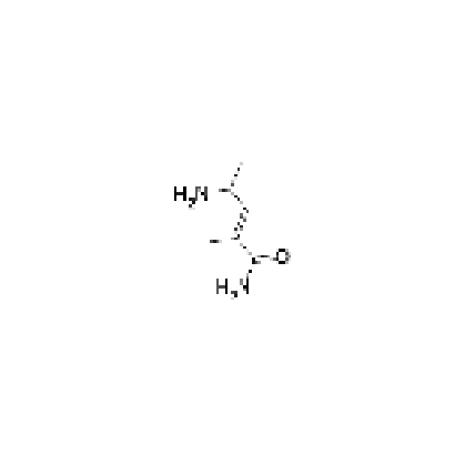 C/C(=C\C(C)N)C(N)=O